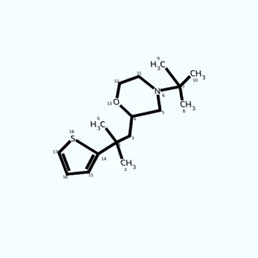 CC(C)(CC1CN(C(C)(C)C)CCO1)c1cccs1